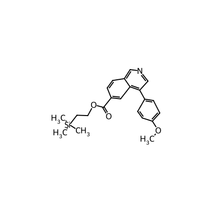 COc1ccc(-c2cncc3ccc(C(=O)OCC[Si](C)(C)C)cc23)cc1